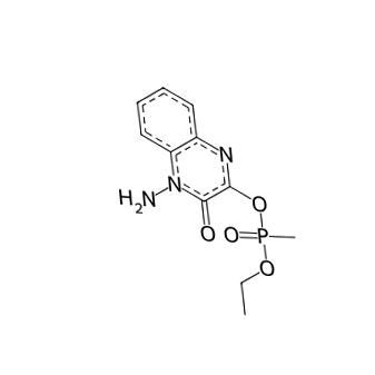 CCOP(C)(=O)Oc1nc2ccccc2n(N)c1=O